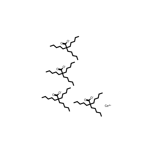 CCCCCC(CCCCC)(CCCCC)C(=O)[O-].CCCCCC(CCCCC)(CCCCC)C(=O)[O-].CCCCCC(CCCCC)(CCCCC)C(=O)[O-].CCCCCC(CCCCC)(CCCCC)C(=O)[O-].[Ge+4]